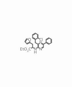 CCOC(=O)C(Cc1ccco1)Nc1ncc(-c2ccccc2)nc1Cc1ccccc1Cl